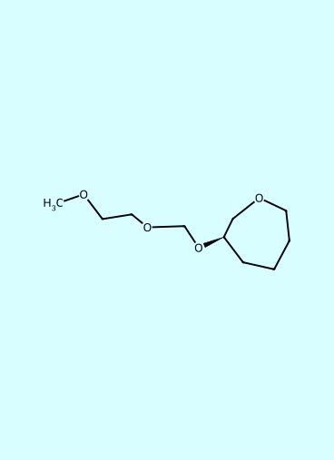 COCCOCO[C@@H]1CCCCOC1